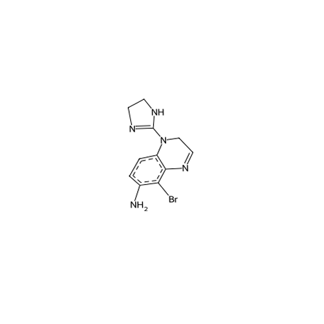 Nc1ccc2c(c1Br)N=CCN2C1=NCCN1